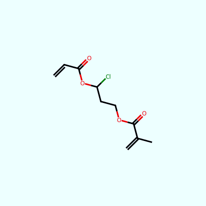 C=CC(=O)OC(Cl)CCOC(=O)C(=C)C